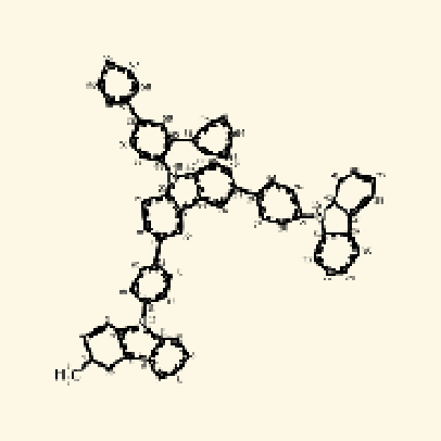 CC1C=Cc2c(c3ccccc3n2-c2ccc(-c3ccc4c(c3)c3cc(-c5ccc(N6c7ccccc7C7=CC=CCC76)cc5)ccc3n4-c3ccc(-c4ccccc4)cc3-c3ccccc3)cc2)C1